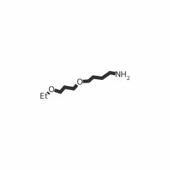 CCOCCCOCCCCN